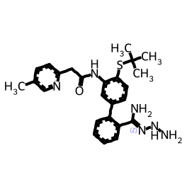 Cc1ccc(CC(=O)Nc2cc(-c3ccccc3/C(N)=N/NN)ccc2SC(C)(C)C)nc1